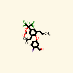 CCCc1cc(C(OCOC)(C(F)(F)F)C(F)(F)F)cc(CCC)c1Oc1ccc(I)c(C=O)c1